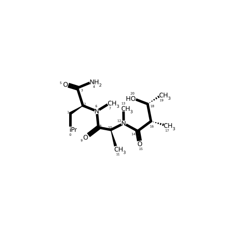 CC(C)C[C@@H](C(N)=O)N(C)C(=O)[C@H](C)N(C)C(=O)[C@@H](C)[C@@H](C)O